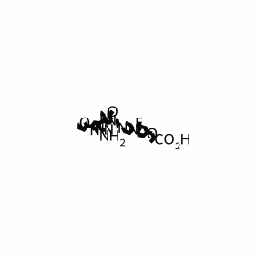 CC(Oc1ccc(N2CCN(CCn3c(=O)n(C)c4c3nc(N)n3nc(-c5ccco5)cc43)CC2)c(F)c1)C(=O)O